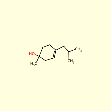 CC(C)CC1=CCC(C)(O)CC1